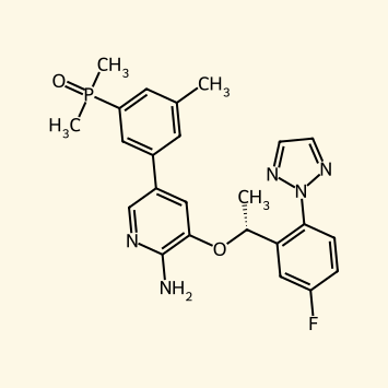 Cc1cc(-c2cnc(N)c(O[C@H](C)c3cc(F)ccc3-n3nccn3)c2)cc(P(C)(C)=O)c1